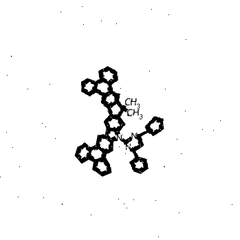 CC1(C)c2cc3c4ccccc4c4ccccc4c3cc2-c2cc3c4cc5c6ccccc6c6ccccc6c5cc4n(-c4nc(-c5ccccc5)cc(-c5ccccc5)n4)c3cc21